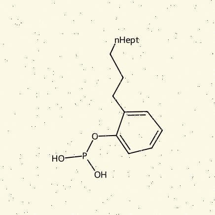 CCCCCCCCCCc1ccccc1OP(O)O